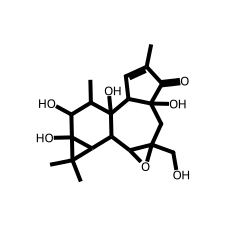 CC1=CC2C(O)(CC3(CO)OC3C3C4C(C)(C)C4(O)C(O)C(C)C32O)C1=O